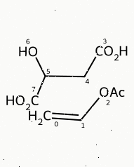 C=COC(C)=O.O=C(O)CC(O)C(=O)O